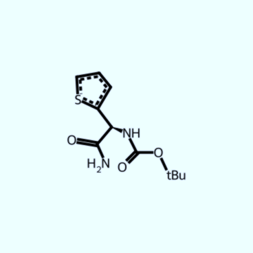 CC(C)(C)OC(=O)N[C@@H](C(N)=O)c1cccs1